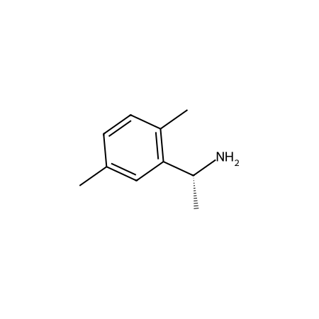 Cc1ccc(C)c([C@@H](C)N)c1